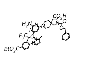 CCOC(=O)c1ccc(-n2ccc(C)n2)c(C(Oc2cc(N3CCC4(CC3)C[C@@H](C(=O)O)N(C(=O)OCc3ccccc3)C4)nc(N)n2)C(F)(F)F)c1